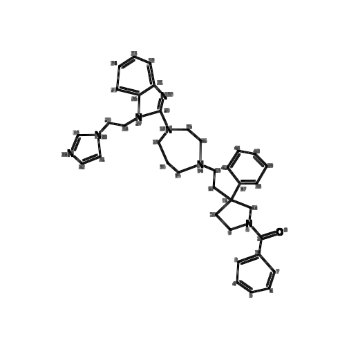 O=C(c1ccccc1)N1CCC(CCN2CCCN(c3nc4ccccc4n3CCn3ccnc3)CC2)(c2ccccc2)C1